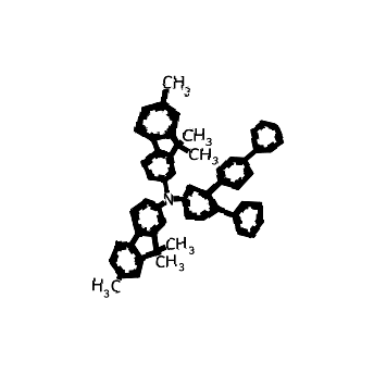 Cc1ccc2c(c1)C(C)(C)c1cc(N(c3ccc(-c4ccccc4)c(-c4ccc(-c5ccccc5)cc4)c3)c3ccc4c(c3)C(C)(C)c3cc(C)ccc3-4)ccc1-2